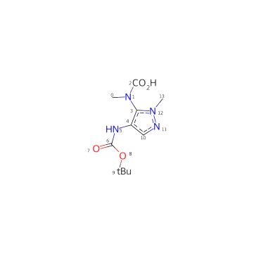 CN(C(=O)O)c1c(NC(=O)OC(C)(C)C)cnn1C